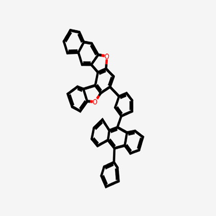 c1ccc(-c2c3ccccc3c(-c3cccc(-c4cc5oc6cc7ccccc7cc6c5c5c4oc4ccccc45)c3)c3ccccc23)cc1